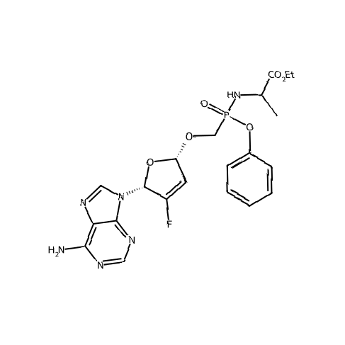 CCOC(=O)C(C)NP(=O)(CO[C@@H]1C=C(F)[C@H](n2cnc3c(N)ncnc32)O1)Oc1ccccc1